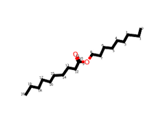 [CH2]CCCCCCCCOC(=O)CCCCCCCCC